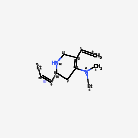 C=CC1=C(N(C)CC)C[C@H](/C=C\CC)NC1